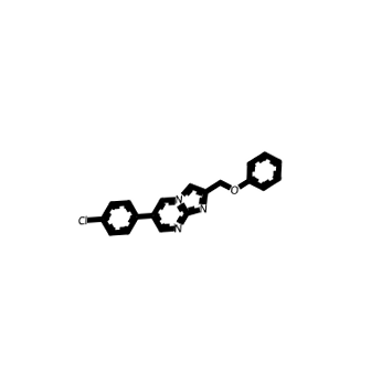 Clc1ccc(-c2cnc3nc(COc4ccccc4)cn3c2)cc1